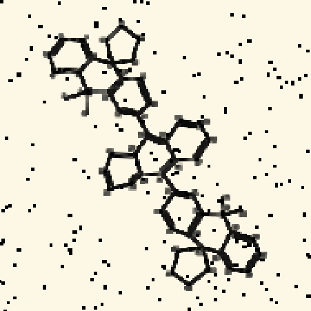 C[Si]1(C)c2ccccc2C2(CCCC2)c2ccc(-c3c4ccccc4c(-c4ccc5c(c4)S(C)(C)c4ccccc4C54CCCC4)c4ccncc34)cc21